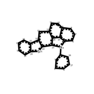 c1ccc(-n2c3cccc4ccc5cc6c7ccccc7sc6c2c5c43)cc1